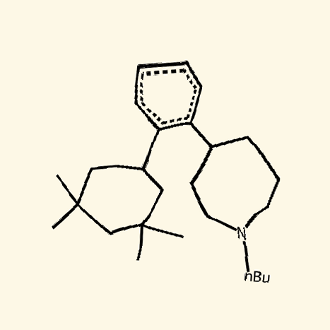 CCCCN1CCCC(c2ccccc2C2CC(C)(C)CC(C)(C)C2)CC1